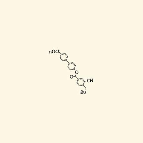 CCCCCCCCc1ccc(-c2ccc(OC(=O)c3ccc(C[C@@H](C)CC)c(C#N)c3)cc2)cc1